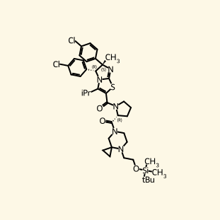 CC(C)C1=C(C(=O)N2CCC[C@@H]2C(=O)N2CCN(CCO[Si](C)(C)C(C)(C)C)C3(CC3)C2)SC2=N[C@@](C)(c3ccc(Cl)cc3)[C@@H](c3ccc(Cl)cc3)N21